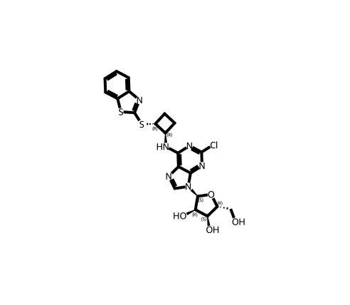 OC[C@H]1O[C@H](n2cnc3c(N[C@@H]4CC[C@H]4Sc4nc5ccccc5s4)nc(Cl)nc32)[C@H](O)[C@@H]1O